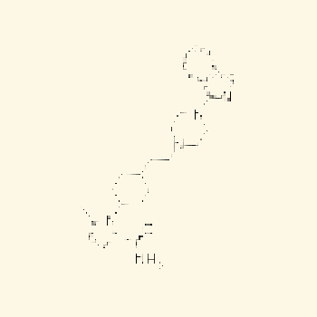 Cc1ccc(C(N)=O)n1C1CCC(CCN2CCN(c3nsc4ccccc34)CC2)CC1